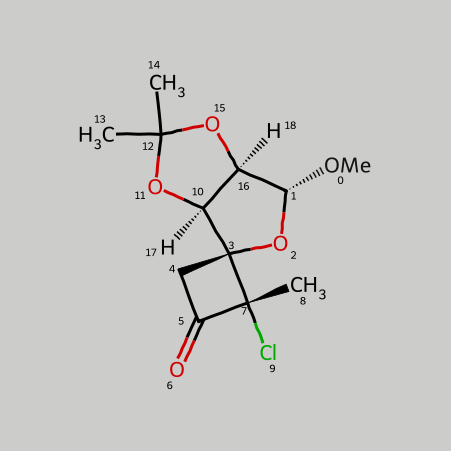 CO[C@@H]1O[C@@]2(CC(=O)[C@@]2(C)Cl)[C@H]2OC(C)(C)O[C@@H]12